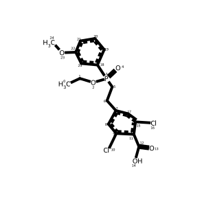 CCOP(=O)(CCc1cc(Cl)c(C(=O)O)c(Cl)c1)c1cccc(OC)c1